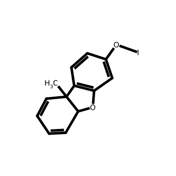 CC12C=CC=CC1Oc1cc(OI)ccc12